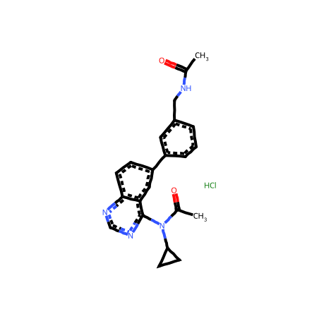 CC(=O)NCc1cccc(-c2ccc3ncnc(N(C(C)=O)C4CC4)c3c2)c1.Cl